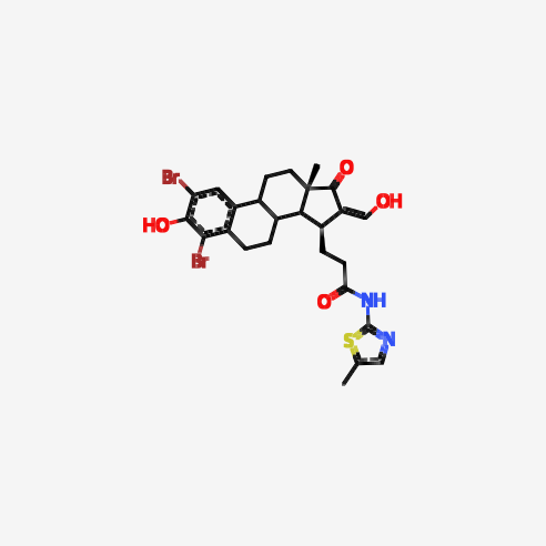 Cc1cnc(NC(=O)CC[C@@H]2C(=CO)C(=O)[C@@]3(C)CCC4c5cc(Br)c(O)c(Br)c5CCC4C23)s1